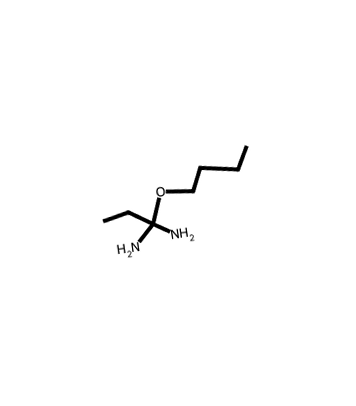 CCCCOC(N)(N)CC